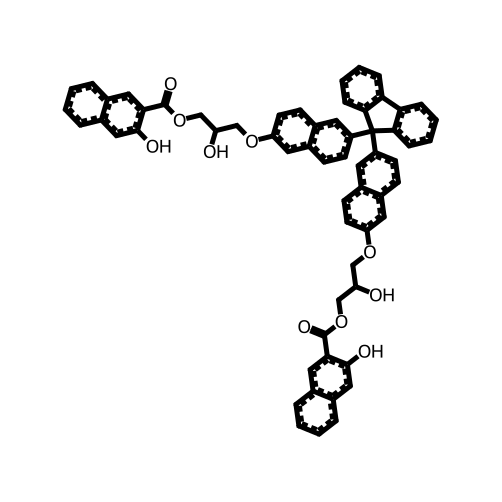 O=C(OCC(O)COc1ccc2cc(C3(c4ccc5cc(OCC(O)COC(=O)c6cc7ccccc7cc6O)ccc5c4)c4ccccc4-c4ccccc43)ccc2c1)c1cc2ccccc2cc1O